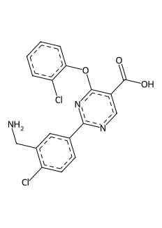 NCc1cc(-c2ncc(C(=O)O)c(Oc3ccccc3Cl)n2)ccc1Cl